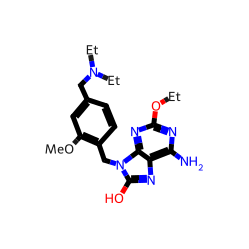 CCOc1nc(N)c2nc(O)n(Cc3ccc(CN(CC)CC)cc3OC)c2n1